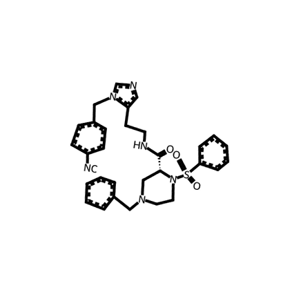 [C-]#[N+]c1ccc(Cn2cncc2CCNC(=O)[C@H]2CN(Cc3ccccc3)CCN2S(=O)(=O)c2ccccc2)cc1